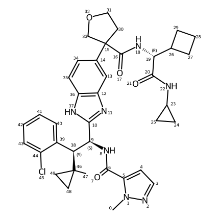 Cn1nccc1C(=O)N[C@H](c1nc2cc(C3(C(=O)N[C@@H](C(=O)NC4CC4)C4CCC4)CCOC3)ccc2[nH]1)[C@H](c1ccccc1Cl)C1(C)CC1